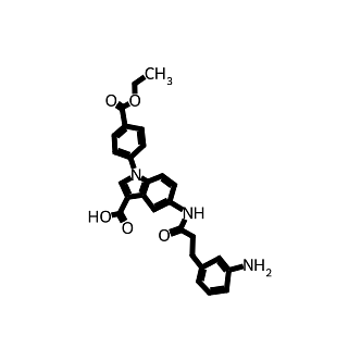 CCOC(=O)c1ccc(-n2cc(C(=O)O)c3cc(NC(=O)CCc4cccc(N)c4)ccc32)cc1